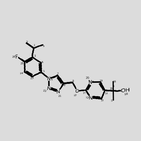 CC(C)c1cc(-n2cc(COc3ncc(C(C)(C)O)cn3)nn2)ccc1F